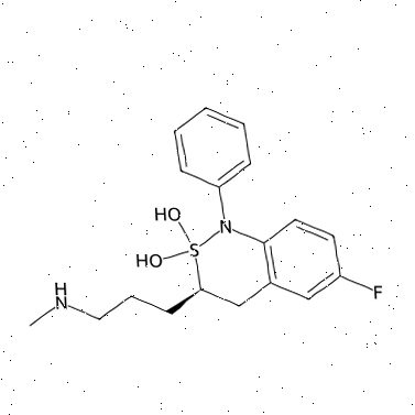 CNCCC[C@@H]1Cc2cc(F)ccc2N(c2ccccc2)S1(O)O